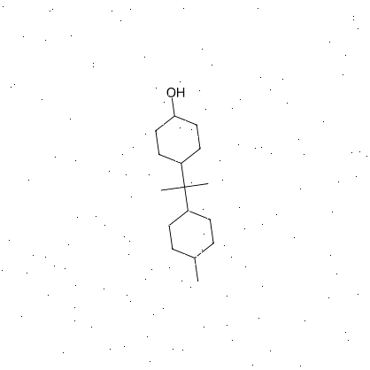 CC1CCC(C(C)(C)C2CCC(O)CC2)CC1